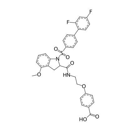 COc1cccc2c1CC(C(=O)NCCOc1ccc(C(=O)O)cc1)N2S(=O)(=O)c1ccc(-c2ccc(F)cc2F)cc1